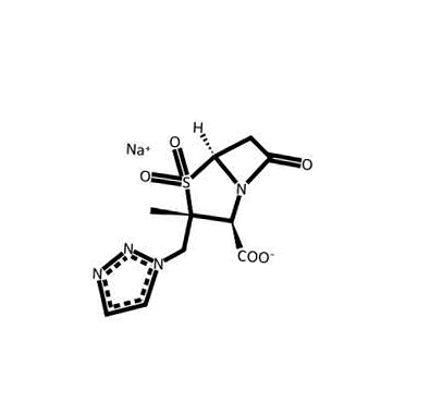 C[C@]1(Cn2ccnn2)[C@H](C(=O)[O-])N2C(=O)C[C@@H]2S1(=O)=O.[Na+]